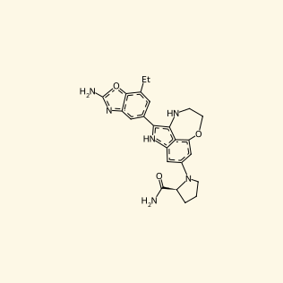 CCc1cc(-c2[nH]c3cc(N4CCC[C@H]4C(N)=O)cc4c3c2NCCO4)cc2nc(N)oc12